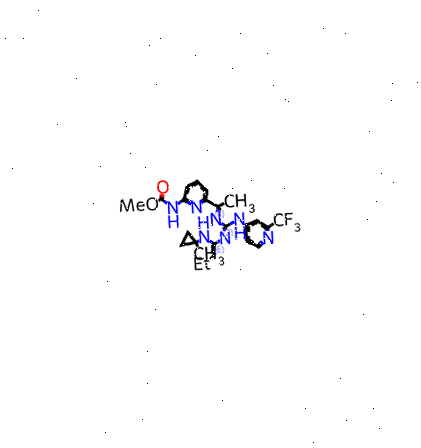 CC/C=C(/N=C(\N=C(/C)c1cccc(NC(=O)OC)n1)Nc1ccnc(C(F)(F)F)c1)NC1(C)CC1